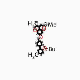 CCCCOc1ccc(C)cc1-c1ccc(COc2ccc3c(c2)OCC(C)C3CC(=O)OC)cc1